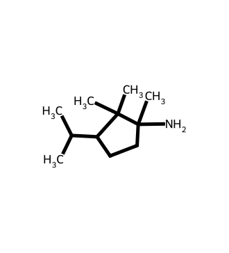 CC(C)C1CCC(C)(N)C1(C)C